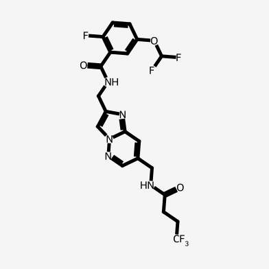 O=C(CCC(F)(F)F)NCc1cnn2cc(CNC(=O)c3cc(OC(F)F)ccc3F)nc2c1